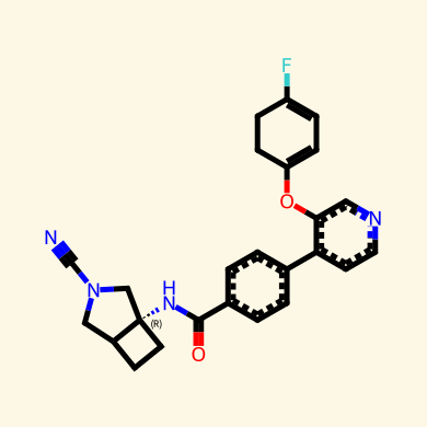 N#CN1CC2CC[C@]2(NC(=O)c2ccc(-c3ccncc3OC3=CC=C(F)CC3)cc2)C1